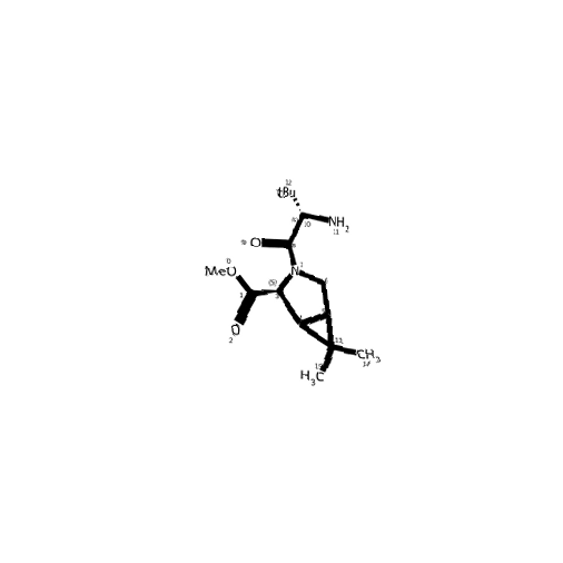 COC(=O)[C@@H]1C2C(CN1C(=O)[C@@H](N)C(C)(C)C)C2(C)C